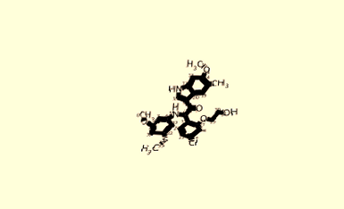 COc1cc(NC(C(=O)c2c[nH]c3cc(OC)c(C)cc23)c2ccc(Cl)cc2OCCO)cc(SC)c1